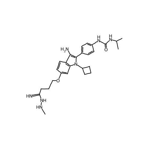 CNNC(=N)CCCOc1ccc2c(N)c(-c3ccc(NC(=O)NC(C)C)cc3)n(C3CCC3)c2c1